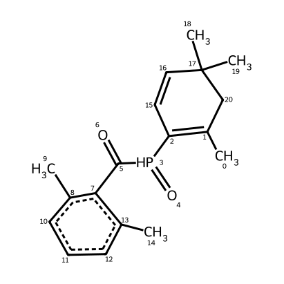 CC1=C([PH](=O)C(=O)c2c(C)cccc2C)C=CC(C)(C)C1